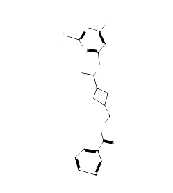 Nc1nc(Cl)cc(OC(O)C2CC(COC(=O)c3ccccc3)C2)n1